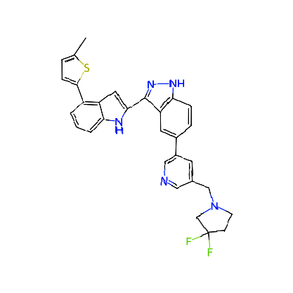 Cc1ccc(-c2cccc3[nH]c(-c4n[nH]c5ccc(-c6cncc(CN7CCC(F)(F)C7)c6)cc45)cc23)s1